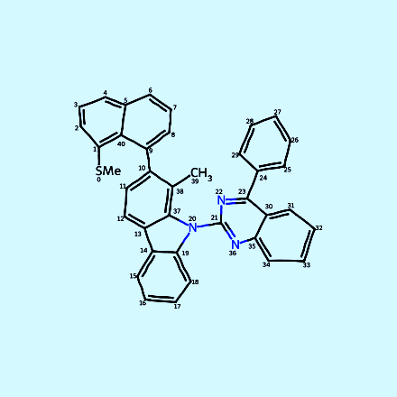 CSc1cccc2cccc(-c3ccc4c5ccccc5n(-c5nc(-c6ccccc6)c6ccccc6n5)c4c3C)c12